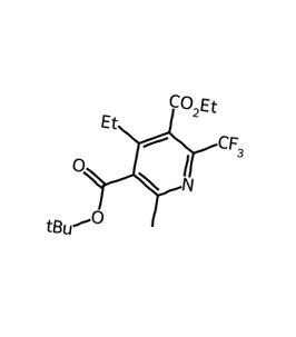 CCOC(=O)c1c(C(F)(F)F)nc(C)c(C(=O)OC(C)(C)C)c1CC